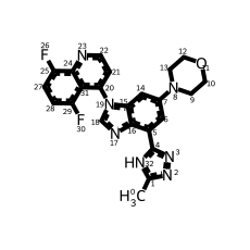 Cc1nnc(-c2cc(N3CCOCC3)cc3c2ncn3-c2ccnc3c(F)ccc(F)c23)[nH]1